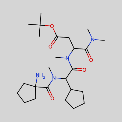 CN(C)C(=O)C(CC(=O)OC(C)(C)C)N(C)C(=O)C(C1CCCC1)N(C)C(=O)C1(N)CCCC1